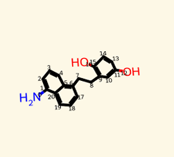 Nc1cccc2c(CCc3cc(O)ccc3O)cccc12